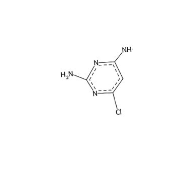 [NH]c1cc(Cl)nc(N)n1